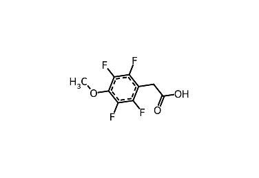 COc1c(F)c(F)c(CC(=O)O)c(F)c1F